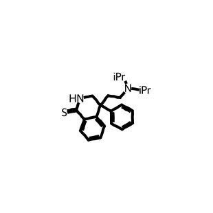 CC(C)N(CCC1(c2ccccc2)CNC(=S)c2ccccc21)C(C)C